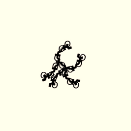 C=CC(=O)C(C)(C)OCCC(C)(C)OCC(C)(COCC(COC(C)(C)CCOC(C)(C)C(=O)C=C)(COC(C)(C)CCOC(C)(C)C(=O)C=C)COC(C)(C)CCOC(C)(C)C(=O)C=C)COC(C)(C)CCOC(C)(C)C(=O)C=C